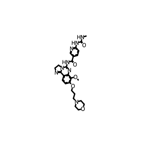 CNC(=O)Nc1ccc(C(=O)NC2=Nc3c(ccc(OCCCN4CCOCC4)c3OC)C3=NCCN23)cn1